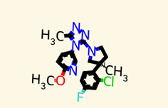 COc1ccc(-n2c(C)nnc2N2CC[C@@](C)(c3ccc(F)cc3Cl)C2)cn1